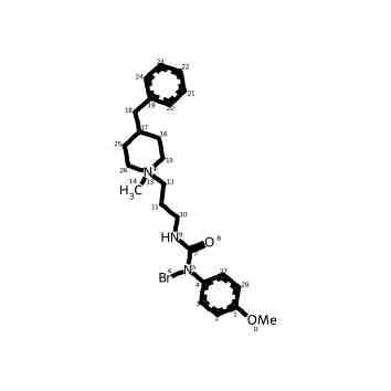 COc1ccc(N(Br)C(=O)NCCC[N+]2(C)CCC(Cc3ccccc3)CC2)cc1